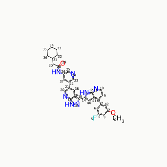 COc1cc(F)cc(-c2ccnc3[nH]c(-c4n[nH]c5ncc(-c6cncc(NC(=O)CC7CCCCC7)c6)cc45)cc23)c1